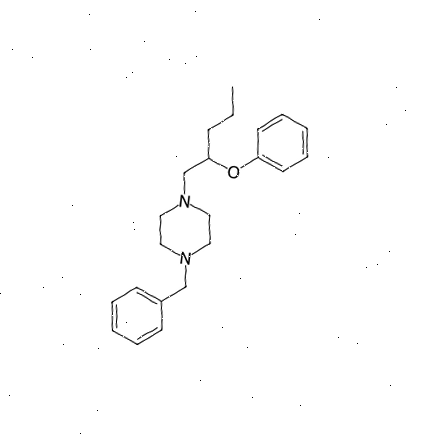 CCCC(CN1CCN(Cc2ccccc2)CC1)Oc1ccccc1